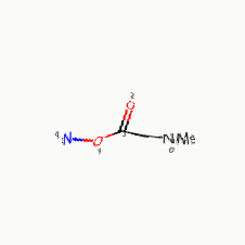 CNC(=O)O[N]